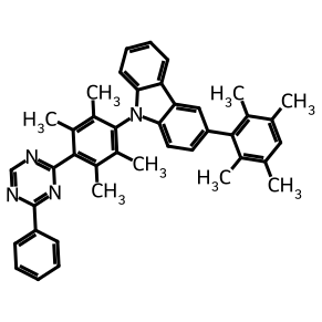 Cc1cc(C)c(C)c(-c2ccc3c(c2)c2ccccc2n3-c2c(C)c(C)c(-c3ncnc(-c4ccccc4)n3)c(C)c2C)c1C